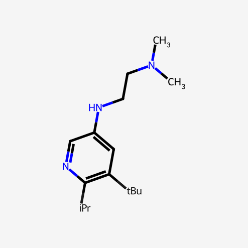 CC(C)c1ncc(NCCN(C)C)cc1C(C)(C)C